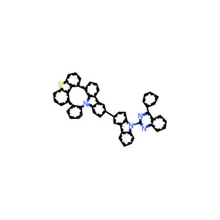 c1ccc(-c2nc(-n3c4ccccc4c4cc(-c5ccc6c(c5)c5cccc7c8cccc9sc%10cccc(c%11ccccc%11n6c75)c%10c98)ccc43)nc3ccccc23)cc1